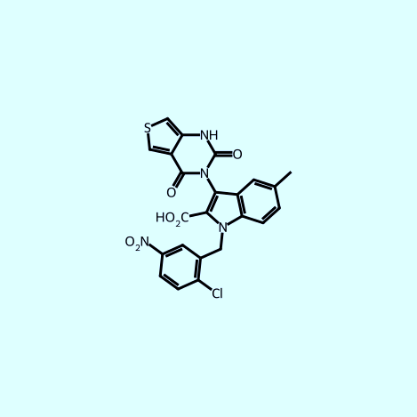 Cc1ccc2c(c1)c(-n1c(=O)[nH]c3cscc3c1=O)c(C(=O)O)n2Cc1cc([N+](=O)[O-])ccc1Cl